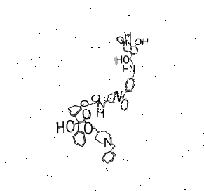 O=C(COc1cccc(C(O)(C(=O)OCC2CCN(Cc3ccccc3)CC2)c2ccccc2)c1)N[C@H]1CCN(C(=O)c2ccc(CNC[C@H](O)c3ccc(O)c4[nH]c(=O)ccc34)cc2)C1